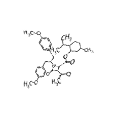 COc1ccc(CC(Cc2ccc(OC)cc2)N2C(=O)C(C(C)=O)C2C(=O)OC2CC(C)CCC2C(C)C)cc1